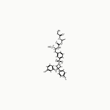 CC(C)CC(=O)OC(C)OC(=O)N[C@@H](Cc1cccc(S(=O)(=O)N2CC(Oc3cccc(F)c3)(c3ccc(F)cc3)C2)c1)C(=O)O